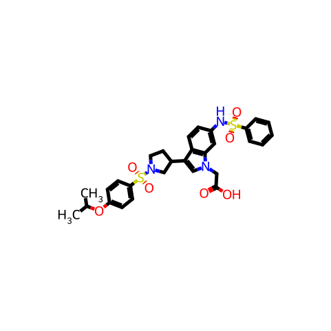 CC(C)Oc1ccc(S(=O)(=O)N2CCC(c3cn(CC(=O)O)c4cc(NS(=O)(=O)c5ccccc5)ccc34)C2)cc1